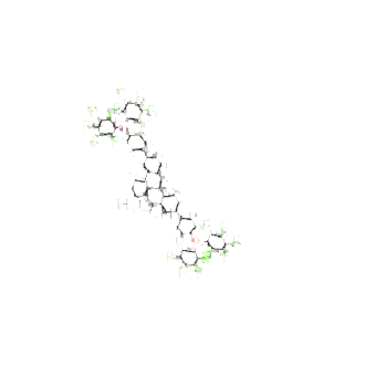 CC1(C)c2cc(-c3ccc(B(c4c(F)c(F)c(F)c(F)c4F)c4c(F)c(F)c(F)c(F)c4F)cc3)ccc2-c2cc3ccc(-c4ccc(B(c5c(F)c(F)c(F)c(F)c5F)c5c(F)c(F)c(F)c(F)c5F)cc4)cc3c3cccc1c23